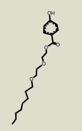 CCCCCCCCOCCOCCOC(=O)c1ccc(O)cc1